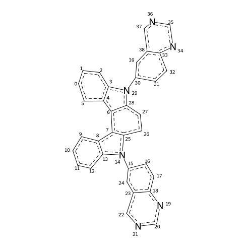 c1ccc2c(c1)c1c3c4ccccc4n(-c4ccc5ncncc5c4)c3ccc1n2-c1ccc2ncncc2c1